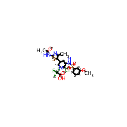 COc1cccc(S(=O)(=O)Nc2cc(-c3sc(NC(C)=O)nc3C)cnc2Cl)c1.O=C(O)C(F)(F)F